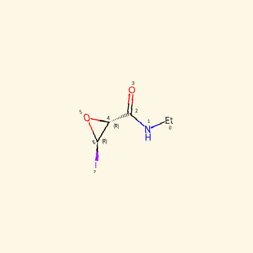 CCNC(=O)[C@H]1O[C@@H]1I